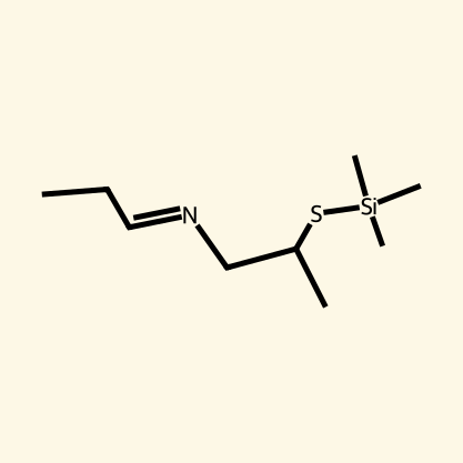 CCC=NCC(C)S[Si](C)(C)C